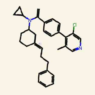 C=C(c1ccc(-c2c(C)cncc2Cl)cc1)N(C1CC1)C1CCC/C(=C\CCc2ccccc2)C1